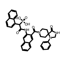 O=C(Nc1cc2ccccc2cc1C(=O)N1CCC2(CC1)C(=O)NCN2c1ccccc1)C(c1cccc2ccccc12)P(=O)(O)O